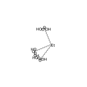 CCC(CCCCCCCCCCCCC(O)C(=O)OCO)(CCCCCCCCCCCCC(O)C(=O)OCO)CCCCCCCCCCCCC(O)C(=O)OCO